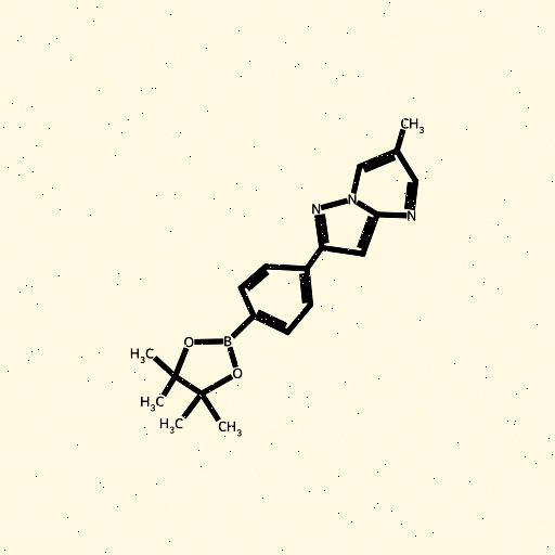 Cc1cnc2cc(-c3ccc(B4OC(C)(C)C(C)(C)O4)cc3)nn2c1